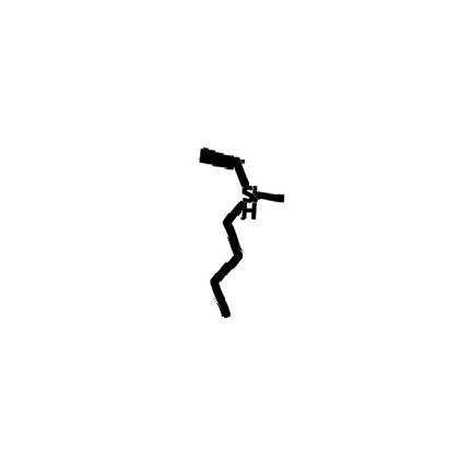 C=[C][SiH](C)CCCC